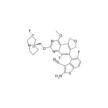 COc1nc(OC[C@@]23CCCN2C[C@H](F)C3)nc2c(F)c(-c3c(F)ccc4sc(N)c(C#N)c34)c3c(c12)COC3